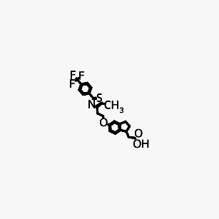 Cc1sc(-c2ccc(C(F)(F)F)cc2)nc1CCOc1ccc2c(c1)CCC2CC(=O)O